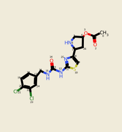 CC(=O)OC1CNC(c2csc(NC(=O)NCc3ccc(Cl)c(Cl)c3)n2)C1